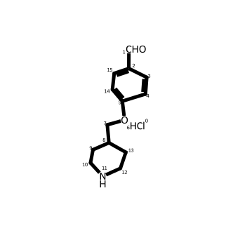 Cl.O=Cc1ccc(OCC2CCNCC2)cc1